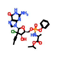 CC#CC1(Cl)[C@@H](O)[C@@H](COP(=O)(N[C@@H](C)C(=O)OC(C)C)Oc2ccccc2)O[C@H]1n1cnc2c(=O)[nH]c(N)nc21